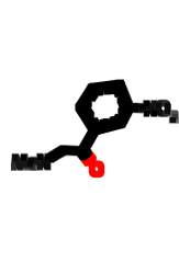 CNCC(=O)c1cccc([N+](=O)[O-])c1